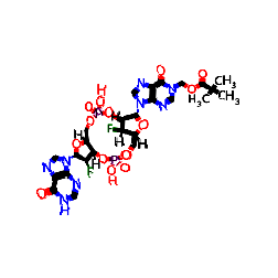 CC(C)(C)C(=O)OCn1cnc2c(ncn2[C@@H]2O[C@@H]3COP(=O)(O)O[C@H]4[C@@H](F)[C@H](n5cnc6c(=O)[nH]cnc65)O[C@@H]4COP(=O)(O)O[C@@H]2[C@H]3F)c1=O